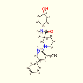 N#Cc1cc(-c2ccccc2)cnc1N1CCC[C@@]2(CCN([C@H]3CC[C@H](O)CC3)C2=O)C1